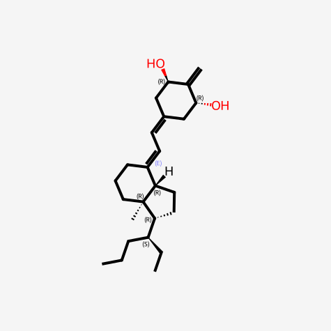 C=C1[C@H](O)CC(=C/C=C2\CCC[C@]3(C)[C@@H]([C@@H](CC)CCC)CC[C@@H]23)C[C@H]1O